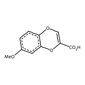 COc1ccc2c(c1)OC(C(=O)O)=CO2